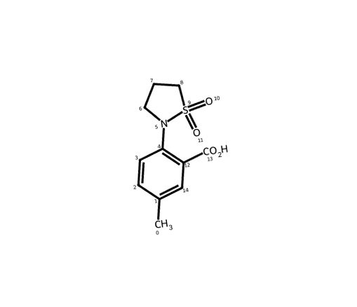 Cc1ccc(N2CCCS2(=O)=O)c(C(=O)O)c1